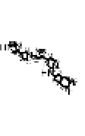 Fc1cc2c(cc1F)CC(Nc1nccc(-c3cc(N4CCC(c5c[nH]nn5)C4)no3)n1)C2